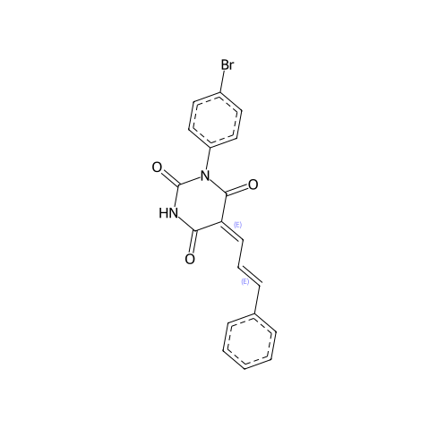 O=C1NC(=O)N(c2ccc(Br)cc2)C(=O)/C1=C/C=C/c1ccccc1